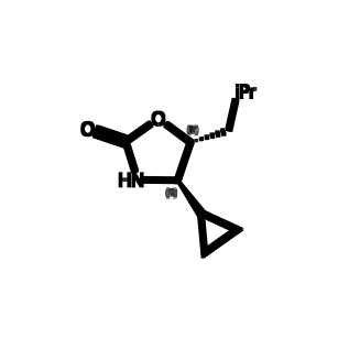 CC(C)C[C@H]1OC(=O)N[C@@H]1C1CC1